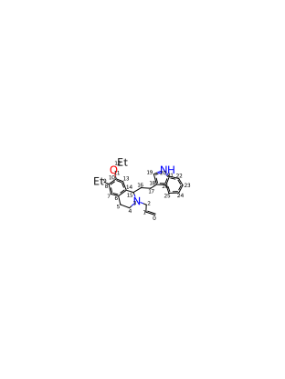 C=CCN1CCc2cc(CC)c(OCC)cc2C1CCc1c[nH]c2ccccc12